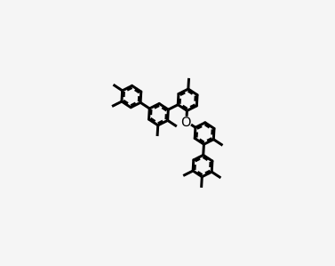 Cc1ccc(Oc2ccc(C)c(-c3cc(C)c(C)c(C)c3)c2)c(-c2cc(-c3ccc(C)c(C)c3)cc(C)c2C)c1